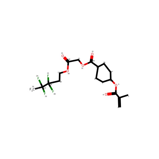 C=C(C)C(=O)OC1CCC(C(=O)OCC(=O)OCCC(F)(F)C(F)(F)C(F)(F)F)CC1